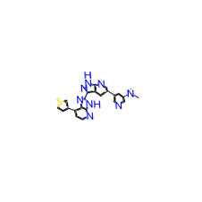 CN(C)c1cncc(-c2cnc3[nH]nc(-c4nc5c(-c6ccsc6)ccnc5[nH]4)c3c2)c1